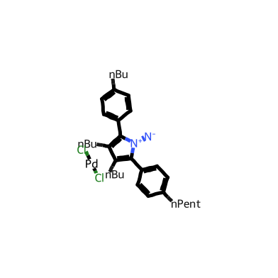 CCCCCc1ccc(C2=C(CCCC)C(CCCC)=C(c3ccc(CCCC)cc3)[N+]2=[N-])cc1.[Cl][Pd][Cl]